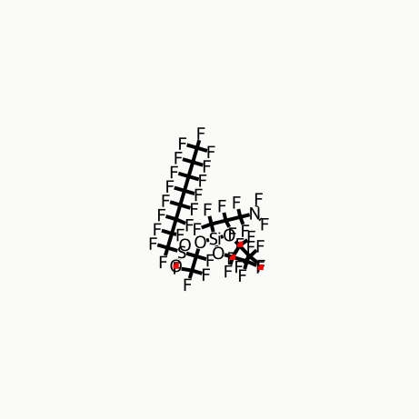 O=S(=O)(C(F)(F)C(F)(F)C(F)(F)C(F)(F)C(F)(F)C(F)(F)C(F)(F)C(F)(F)F)C(F)(O[Si](OC(F)(F)C(F)(F)F)(OC(F)(F)C(F)(F)F)C(F)(F)C(F)(F)C(F)(F)N(F)F)C(F)(F)F